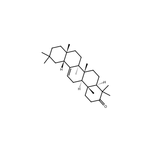 CC1(C)CC[C@]2(C)CC[C@]3(C)C(=CC[C@@H]4[C@@]5(C)CCC(=O)C(C)(C)[C@@H]5CC[C@]43C)[C@@H]2C1